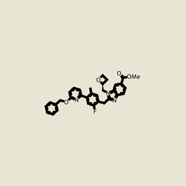 COC(=O)c1ccc2nc(Cc3cc(C)c(-c4cccc(OCc5ccccc5)n4)cc3F)n(C[C@@H]3CCO3)c2c1